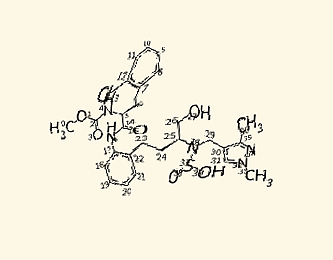 COC(=O)N[C@@H](Cc1ccccc1Cl)C(=O)Nc1ccccc1CC[C@@H](CO)N(Cc1cn(C)nc1C)S(=O)O